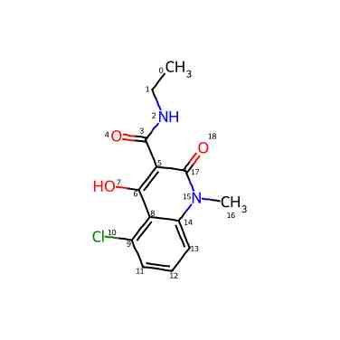 CCNC(=O)c1c(O)c2c(Cl)cccc2n(C)c1=O